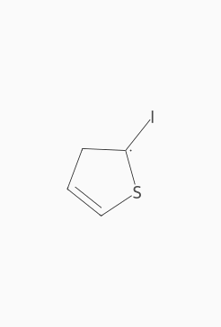 I[C]1CC=CS1